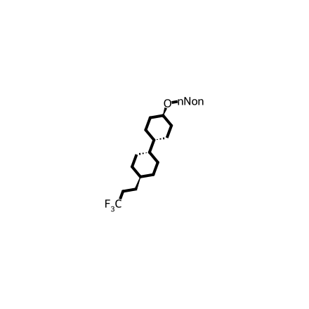 CCCCCCCCCO[C@H]1CC[C@H]([C@H]2CC[C@H](CCC(F)(F)F)CC2)CC1